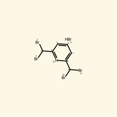 Br.BrC(Br)c1cccc(C(Br)Br)n1